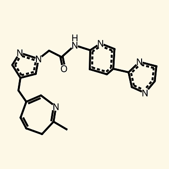 CC1=NC=C(Cc2cnn(CC(=O)Nc3ccc(-c4cnccn4)cn3)c2)C=CC1